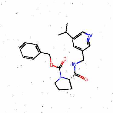 CC(C)c1cncc(CNC(=O)[C@@H]2CCCN2C(=O)OCc2ccccc2)c1